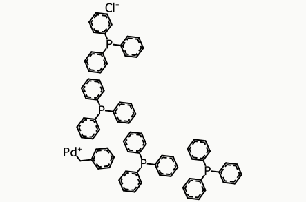 [Cl-].[Pd+][CH2]c1ccccc1.c1ccc(P(c2ccccc2)c2ccccc2)cc1.c1ccc(P(c2ccccc2)c2ccccc2)cc1.c1ccc(P(c2ccccc2)c2ccccc2)cc1.c1ccc(P(c2ccccc2)c2ccccc2)cc1